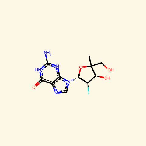 CC1(CO)O[C@@H](n2cnc3c(=O)[nH]c(N)nc32)[C@H](F)[C@@H]1O